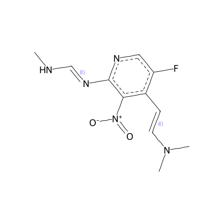 CN/C=N/c1ncc(F)c(/C=C/N(C)C)c1[N+](=O)[O-]